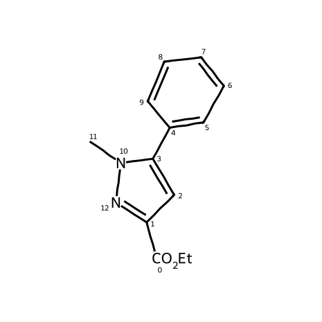 CCOC(=O)c1cc(-c2ccccc2)n(C)n1